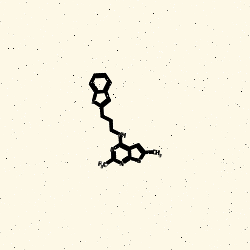 Cc1cc2c(NCCCc3cc4ccccc4s3)nc(C(F)(F)F)nc2s1